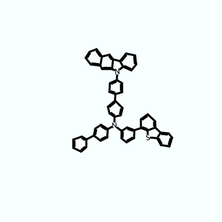 c1ccc(-c2ccc(N(c3ccc(-c4ccc(-n5c6ccccc6c6cc7ccccc7cc65)cc4)cc3)c3cccc(-c4cccc5c4sc4ccccc45)c3)cc2)cc1